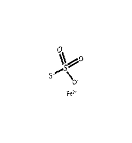 O=S(=O)([O-])[S-].[Fe+2]